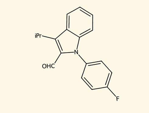 CC(C)c1c(C=O)n(-c2ccc(F)cc2)c2ccccc12